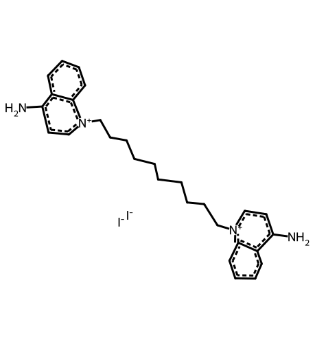 Nc1cc[n+](CCCCCCCCCC[n+]2ccc(N)c3ccccc32)c2ccccc12.[I-].[I-]